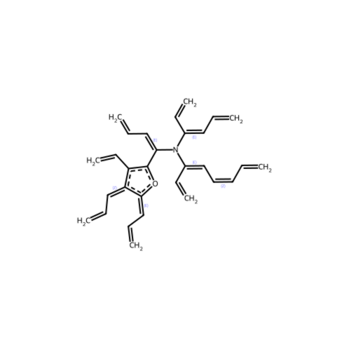 C=C/C=C\C=C(/C=C)N(/C(C=C)=C/C=C)/C(=C/C=C)c1oc(=C/C=C)/c(=C\C=C)c1C=C